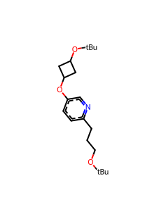 CC(C)(C)OCCCc1ccc(OC2CC(OC(C)(C)C)C2)cn1